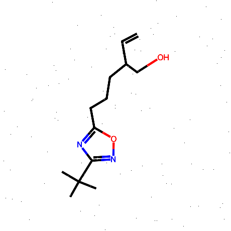 C=CC(CO)CCCc1nc(C(C)(C)C)no1